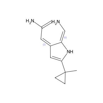 C=C(N)/C=c1/cc(C2(C)CC2)[nH]/c1=C/N